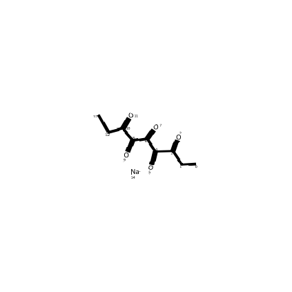 CCC(=O)C(=O)C(=O)C(=O)C(=O)CC.[Na]